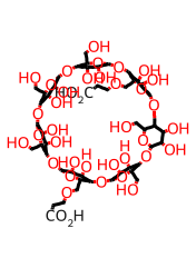 O=C(O)CCOCC1OC2OC3C(CO)OC(OC4C(CO)OC(OC5C(COCCC(=O)O)OC(OC6C(CO)OC(OC7C(CO)OC(OC8C(CO)OC(OC1C(O)C2O)C(O)C8O)C(O)C7O)C(O)C6O)C(O)C5O)C(O)C4O)C(O)C3O